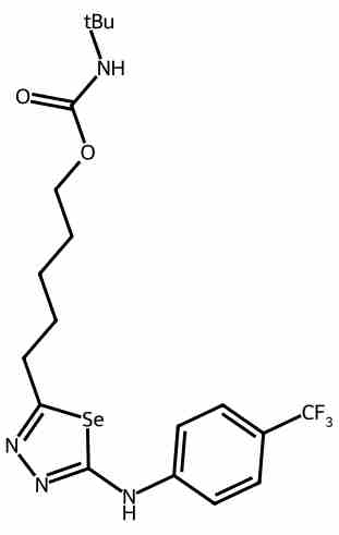 CC(C)(C)NC(=O)OCCCCCc1nnc(Nc2ccc(C(F)(F)F)cc2)[se]1